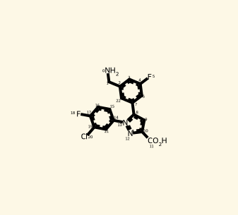 NCc1cc(F)cc(-c2cc(C(=O)O)nn2-c2ccc(F)c(Cl)c2)c1